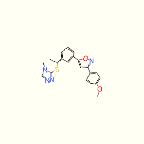 COc1ccc(-c2cc(-c3cccc(C(C)Sc4nncn4C)c3)on2)cc1